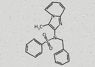 Cc1c(N(Cc2ccccc2)S(=O)(=O)c2ccccc2)nc2ccccn12